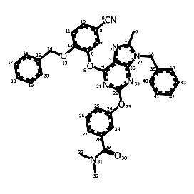 Cc1nc2c(Oc3cc(C#N)ccc3OCc3ccccc3)nc(Oc3cccc(C(=O)N(C)C)c3)nc2n1Cc1ccccc1